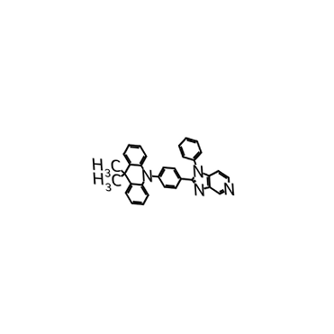 CC1(C)c2ccccc2N(c2ccc(-c3nc4cnccc4n3-c3ccccc3)cc2)c2ccccc21